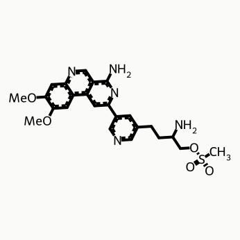 COc1cc2ncc3c(N)nc(-c4cncc(CCC(N)COS(C)(=O)=O)c4)cc3c2cc1OC